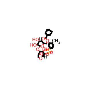 Cc1ccc(S(=O)(=O)OC2C(O)[C@H](O[C@@H]3OC4COC(c5ccccc5)O[C@H]4C(O)C3O)C3CO[C@@H]2O3)cc1